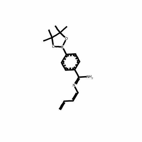 C=C/C=C\N=C(/N)c1ccc(B2OC(C)(C)C(C)(C)O2)cc1